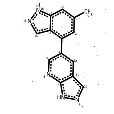 FC(F)(F)c1cc(-c2cnc3[nH]ncc3c2)c2cn[nH]c2c1